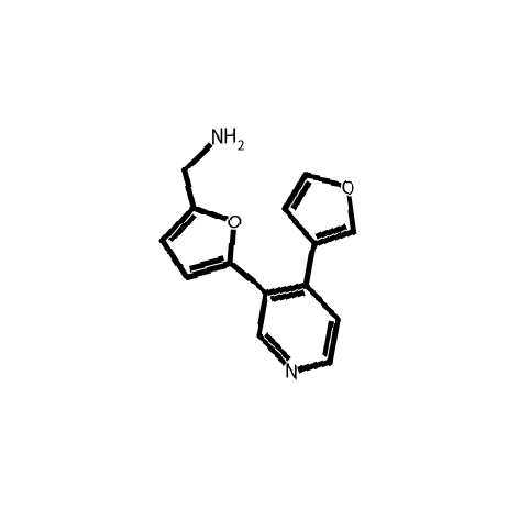 NCc1ccc(-c2cnccc2-c2ccoc2)o1